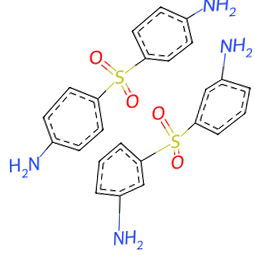 Nc1ccc(S(=O)(=O)c2ccc(N)cc2)cc1.Nc1cccc(S(=O)(=O)c2cccc(N)c2)c1